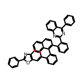 c1ccc(-c2nc3ccc(-c4ccccc4-c4c(-c5ccccc5-c5nc(-c6ccccc6)c6ccccc6n5)ccc5ccccc45)cc3o2)cc1